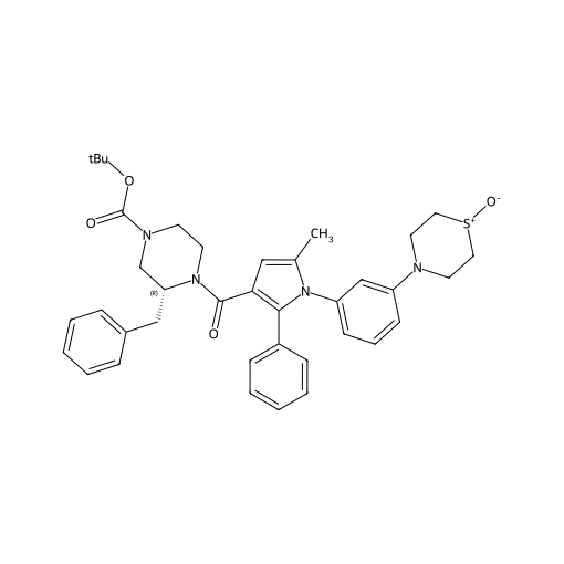 Cc1cc(C(=O)N2CCN(C(=O)OC(C)(C)C)C[C@H]2Cc2ccccc2)c(-c2ccccc2)n1-c1cccc(N2CC[S+]([O-])CC2)c1